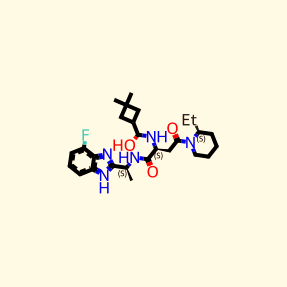 CC[C@H]1CCCCN1C(=O)C[C@H](NC(O)C1CC(C)(C)C1)C(=O)N[C@@H](C)c1nc2c(F)cccc2[nH]1